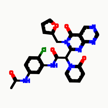 CC(=O)Nc1ccc(Cl)c(NC(=O)C(c2nc3ncncc3c(=O)n2Cc2ccco2)n2ccccc2=O)c1